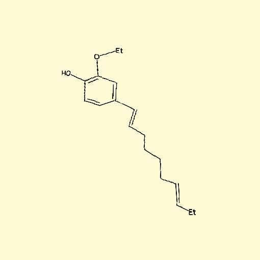 CCC=CCCCCC=Cc1ccc(O)c(OCC)c1